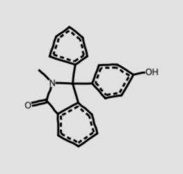 CN1C(=O)c2ccccc2C1(c1ccccc1)c1ccc(O)cc1